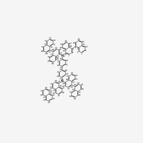 c1ccc2c(-c3ccc(N(c4ccc(-c5ccc(N(c6ccc(-c7cccc8ccccc78)c7ccccc67)c6ccc(-c7cccc8ccccc78)c7ccccc67)cc5)cc4)c4ccc(-c5cccc6ccccc56)c5ccccc45)c4ccccc34)cccc2c1